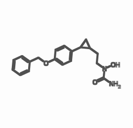 NC(=O)N(O)CCC1CC1c1ccc(OCc2ccccc2)cc1